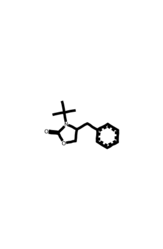 CC(C)(C)N1C(=O)OCC1Cc1ccccc1